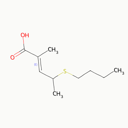 CCCCSC(C)/C=C(\C)C(=O)O